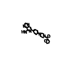 CNc1nc(-c2ccc(N3CCN(C(=O)[C@@H]4CCCO4)CC3)cc2)cc2nccnc12